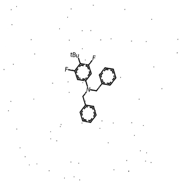 CC(C)(C)c1c(F)cc(N(Cc2ccccc2)Cc2ccccc2)cc1F